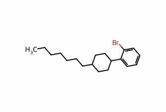 CCCCCCCC1CCC(c2ccccc2Br)CC1